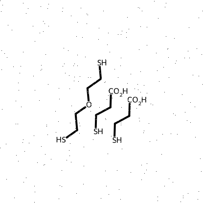 O=C(O)CCS.O=C(O)CCS.SCCOCCS